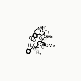 C/C=C(/OC)[C@@H](OC(=O)[C@@](O)(C/C=C/C(C)(C)OCc1ccccc1)CC(=O)OC)[C@@H]1CN(CCC)CCc2cc3c(cc21)OCO3